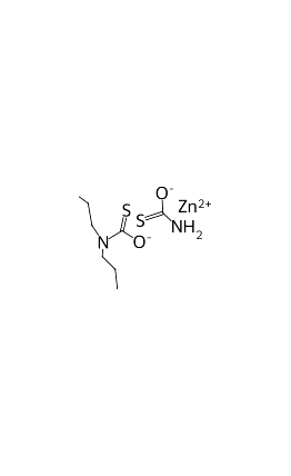 CCCN(CCC)C([O-])=S.NC([O-])=S.[Zn+2]